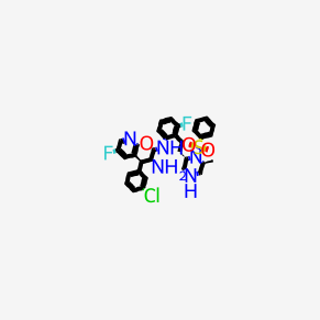 C[C@H]1CNC[C@H](CCc2c(F)cccc2NC(=O)[C@@H](N)[C@H](c2cncc(F)c2)c2cccc(Cl)c2)N1S(=O)(=O)c1ccccc1